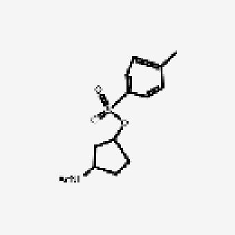 CC(=O)NC1CCC(OS(=O)(=O)c2ccc(C)cc2)C1